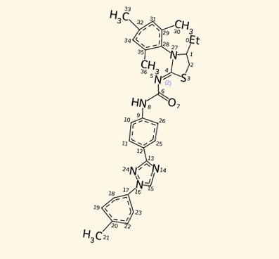 CCC1CS/C(=N\C(=O)Nc2ccc(-c3ncn(-c4ccc(C)cc4)n3)cc2)N1c1c(C)cc(C)cc1C